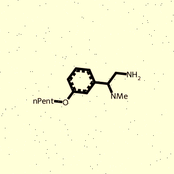 CCCCCOc1cccc(C(CN)NC)c1